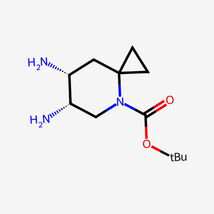 CC(C)(C)OC(=O)N1C[C@H](N)[C@H](N)CC12CC2